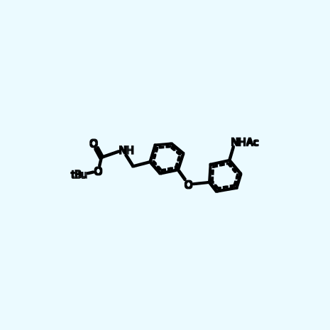 CC(=O)Nc1cccc(Oc2cccc(CNC(=O)OC(C)(C)C)c2)c1